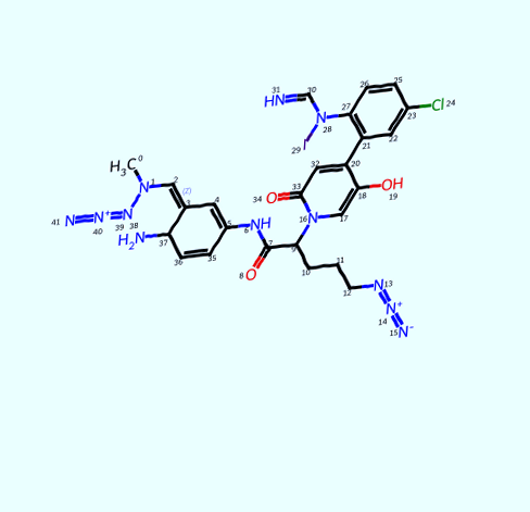 CN(/C=C1/C=C(NC(=O)C(CCCN=[N+]=[N-])n2cc(O)c(-c3cc(Cl)ccc3N(I)C=N)cc2=O)C=CC1N)N=[N+]=[N-]